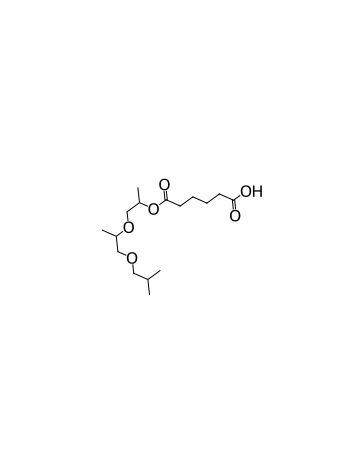 CC(C)COCC(C)OCC(C)OC(=O)CCCCC(=O)O